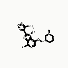 CCn1c(-c2nonc2N)nc2c(Cl)ncc(OC[C@H]3CCCN(C)C3)c21